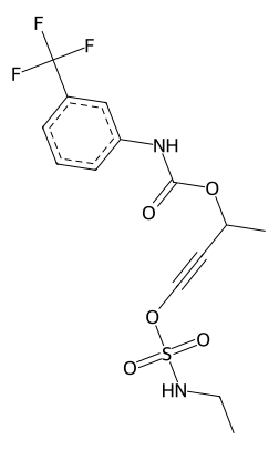 CCNS(=O)(=O)OC#CC(C)OC(=O)Nc1cccc(C(F)(F)F)c1